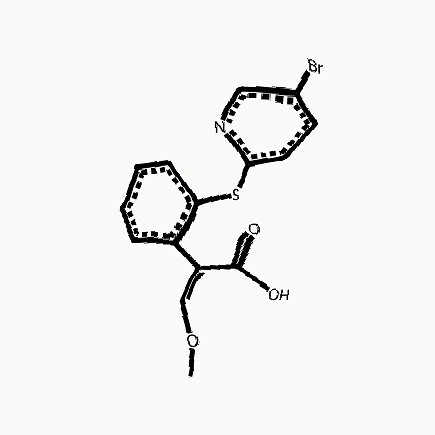 COC=C(C(=O)O)c1ccccc1Sc1ccc(Br)cn1